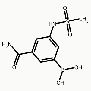 CS(=O)(=O)Nc1cc(B(O)O)cc(C(N)=O)c1